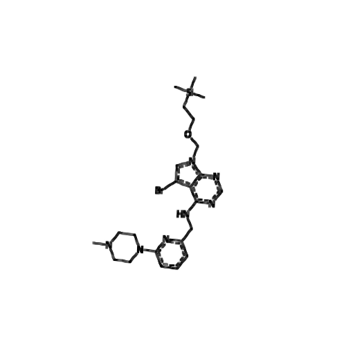 CN1CCN(c2cccc(CNc3ncnc4c3c(Br)cn4COCC[Si](C)(C)C)n2)CC1